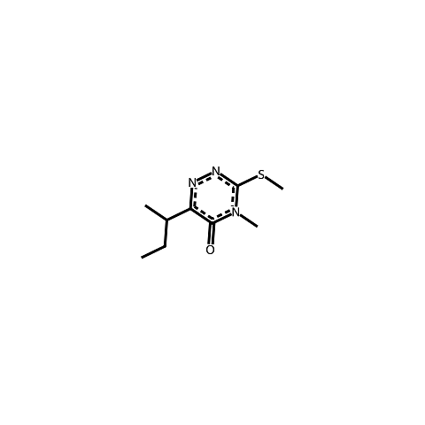 CCC(C)c1nnc(SC)n(C)c1=O